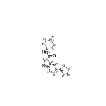 CN1CCC(NC(=O)c2cnn3ccc(N4CCCC4)cc23)CC1